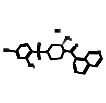 Cc1cc(C#N)ccc1S(=O)(=O)N1CCN(C(=O)c2cccc3ccncc23)[C@@H](C)C1.Cl